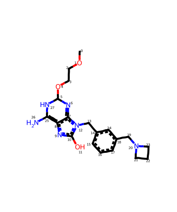 COCCOC1N=c2c(nc(O)n2Cc2cccc(CN3CCC3)c2)=C(N)N1